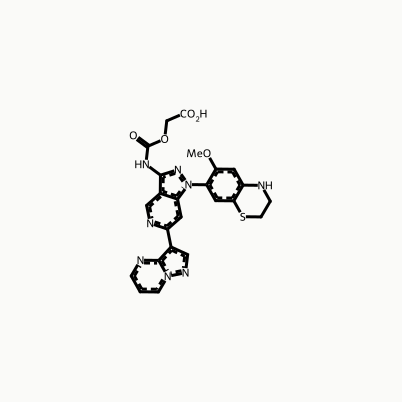 COc1cc2c(cc1-n1nc(NC(=O)OCC(=O)O)c3cnc(-c4cnn5cccnc45)cc31)SCCN2